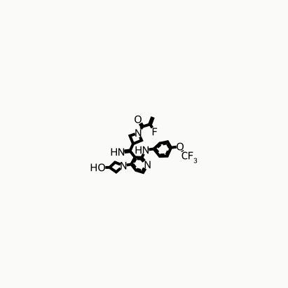 C=C(F)C(=O)N1CC(C(=N)c2c(N3CC(O)C3)ccnc2Nc2ccc(OC(F)(F)F)cc2)C1